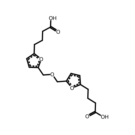 O=C(O)CCCc1ccc(COCc2ccc(CCCC(=O)O)o2)o1